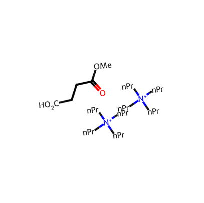 CCC[N+](CCC)(CCC)CCC.CCC[N+](CCC)(CCC)CCC.COC(=O)CCC(=O)O